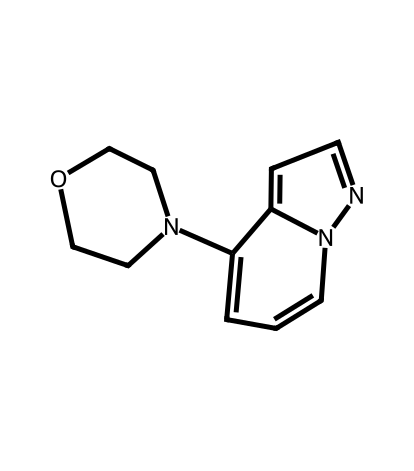 c1cc(N2CCOCC2)c2ccnn2c1